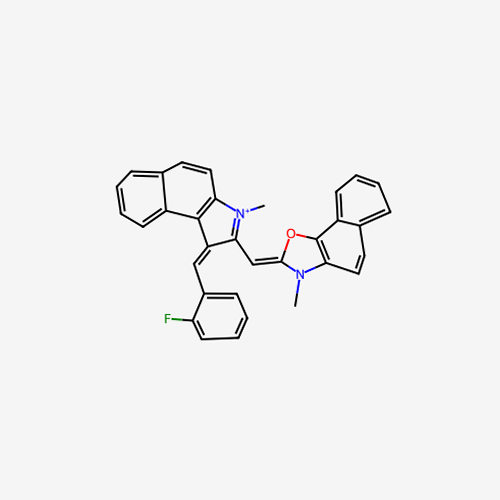 CN1/C(=C/C2=[N+](C)c3ccc4ccccc4c3/C2=C/c2ccccc2F)Oc2c1ccc1ccccc21